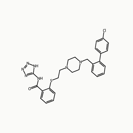 O=C(Nc1nnn[nH]1)c1ccccc1SCCN1CCN(Cc2ccccc2-c2ccc(Cl)cc2)CC1